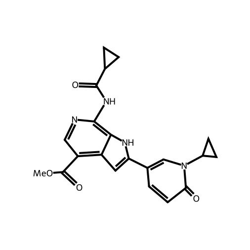 COC(=O)c1cnc(NC(=O)C2CC2)c2[nH]c(-c3ccc(=O)n(C4CC4)c3)cc12